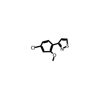 COc1cc(Cl)ccc1-c1ccsn1